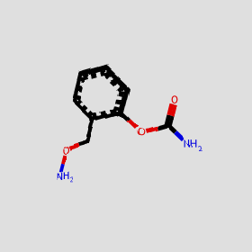 NOCc1ccccc1OC(N)=O